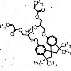 C=CC(=O)OCC(O)COc1ccc2c(c1)C1(CC2(C)C)CC(C)(C)c2ccc(OCC(O)COC(=O)C=C)cc21